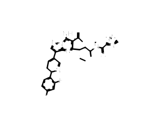 C=C(C)c1c([C@@H](CC)CC(C)N(C)C(=O)c2nnc[nH]2)nc2c(C3=CCC(c4ccc(F)cc4F)N=C3)cnn2c1N